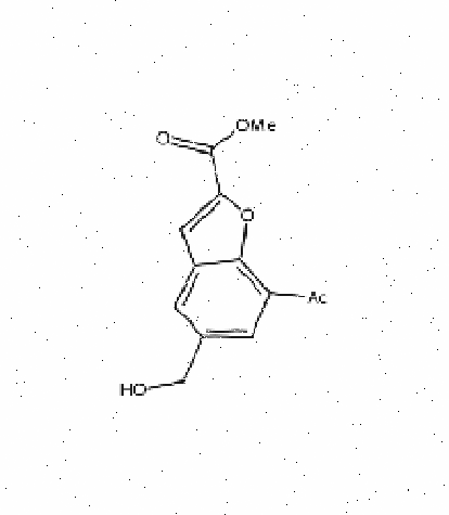 COC(=O)c1cc2cc(CO)cc(C(C)=O)c2o1